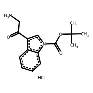 CC(C)(C)OC(=O)n1cc(C(=O)CN)c2ccccc21.Cl